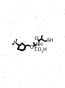 CC(CS)C(=O)N[C@@](C)(OCc1cccc(N(C)C)c1)C(=O)O